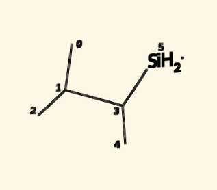 CC(C)C(C)[SiH2]